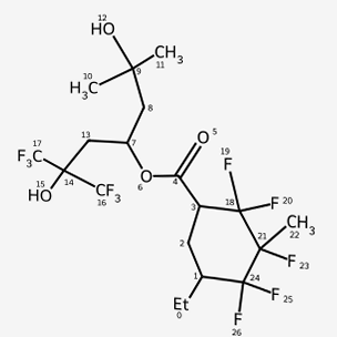 CCC1CC(C(=O)OC(CC(C)(C)O)CC(O)(C(F)(F)F)C(F)(F)F)C(F)(F)C(C)(F)C1(F)F